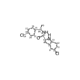 C[C@@H](NC(=O)c1cc2cc(Cl)ccc2[nH]1)c1ccc(Cl)cc1